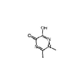 Cc1nc(=O)c(O)nn1C